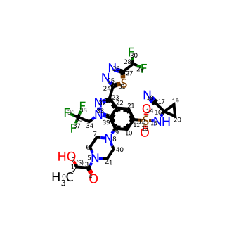 C[C@H](O)C(=O)N1CCN(c2cc(S(=O)(=O)NC3(C#N)CC3)cc3c(-c4nnc(C(F)F)s4)nn(CC(F)(F)F)c23)CC1